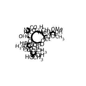 CC[C@H]1OC(=O)C[C@@H](O)[C@H](C)[C@@H](O[C@@H]2O[C@H](C)[C@@H](O[C@H]3C[C@@](C)(O)[C@@H](O)[C@H](C)O3)[C@H](N(C)C)[C@H]2O)[C@@H](CC=O)C[C@@H](C)C(=O)/C=C/C(C)=C/C1CO[C@@H]1O[C@H](C)[C@@H](O)[C@@H](OC)[C@H]1OC.O=C(O)c1cccnc1